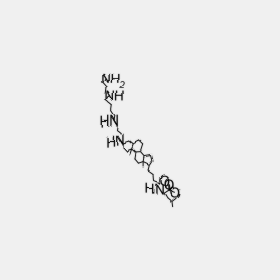 COC(=O)C(CC(C)C)NC(=O)CCCC1CCC2C3CCC4CC(NCCCNCCCCNCCCN)CCC4(C)C3CCC12C